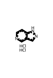 Cl.Cl.c1cc2[nH]ncc2cn1